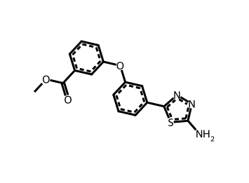 COC(=O)c1cccc(Oc2cccc(-c3nnc(N)s3)c2)c1